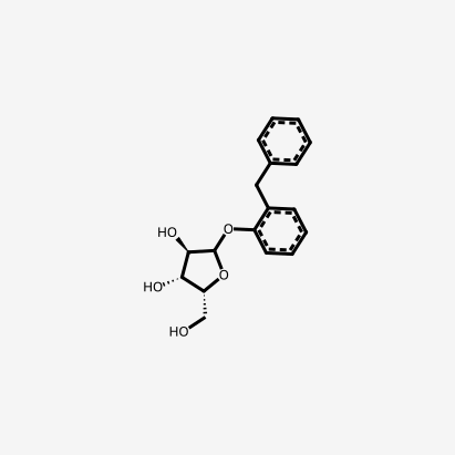 OC[C@H]1OC(Oc2ccccc2Cc2ccccc2)[C@H](O)[C@H]1O